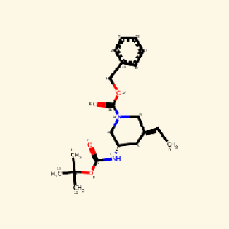 CC=C1C[C@H](NC(=O)OC(C)(C)C)CN(C(=O)OCc2ccccc2)C1